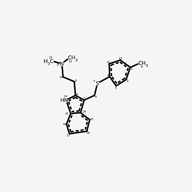 Cc1ccc(SCc2c(CCN(C)C)[nH]c3ccccc23)cc1